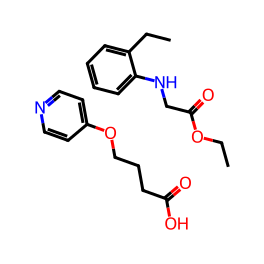 CCOC(=O)CNc1ccccc1CC.O=C(O)CCCOc1ccncc1